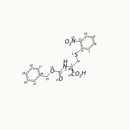 O=C(N[C@@H](CSc1ccccc1[N+](=O)[O-])C(=O)O)OCc1ccccc1